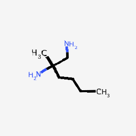 CCCCC(C)(N)CN